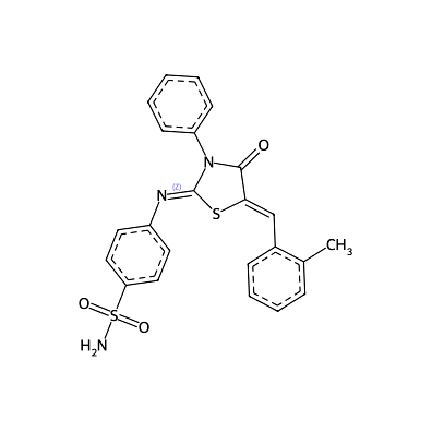 Cc1ccccc1C=C1S/C(=N\c2ccc(S(N)(=O)=O)cc2)N(c2ccccc2)C1=O